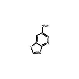 CNc1cnc2ncsc2c1